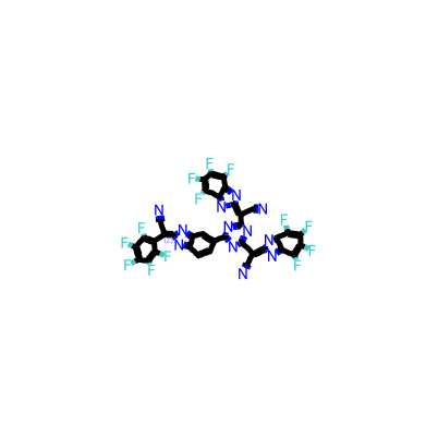 N#CC(=C1N=c2c(F)c(F)c(F)c(F)c2=N1)c1nc(C(C#N)=C2N=c3c(F)c(F)c(F)c(F)c3=N2)nc(-c2ccc3c(c2)=N/C(=C(\C#N)c2c(F)c(F)c(F)c(F)c2F)N=3)n1